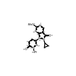 CSc1ncc2c(=O)n(C3CC3)n(-c3ccc(=O)n(C(C)C)n3)c2n1